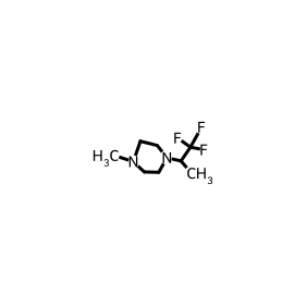 CC(N1CCN(C)CC1)C(F)(F)F